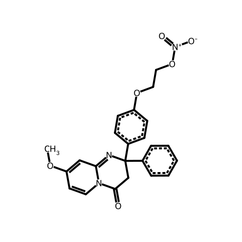 COC1=CC2=NC(c3ccccc3)(c3ccc(OCCO[N+](=O)[O-])cc3)CC(=O)N2C=C1